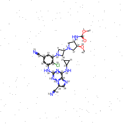 COC(=O)N[C@@H]1CN(C2CN(c3cc(C#N)cc(Nc4nc(NC5CC5)c5ncc(C#N)n5n4)c3Cl)C2)C[C@@H]1OC